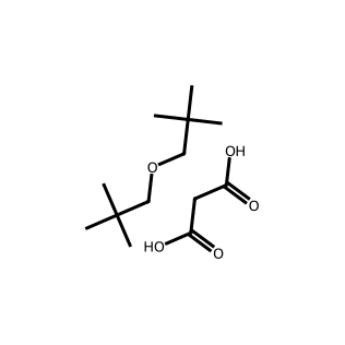 CC(C)(C)COCC(C)(C)C.O=C(O)CC(=O)O